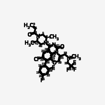 C=CC(=O)N1C[C@H](C)N(c2nc(=O)n3c4c(c(-c5ccc(F)cc5F)c(Cl)cc24)OC=C3CN(C)CC(F)(F)F)C[C@H]1C